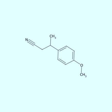 COc1ccc(C(C)CC#N)cc1